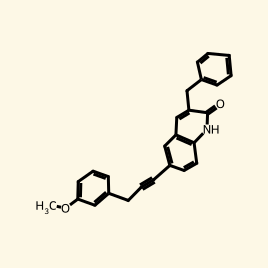 COc1cccc(CC#Cc2ccc3[nH]c(=O)c(Cc4ccccc4)cc3c2)c1